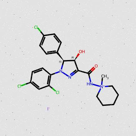 C[N+]1(NC(=O)C2=NN(c3ccc(Cl)cc3Cl)[C@@H](c3ccc(Cl)cc3)[C@H]2O)CCCCC1.[I-]